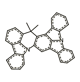 CC1(C)c2c(cc3c4ccccc4n4c5ccccc5c2c34)-n2c3ccccc3c3cccc1c32